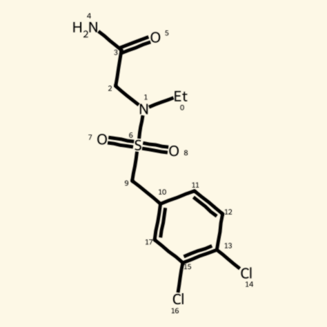 CCN(CC(N)=O)S(=O)(=O)Cc1ccc(Cl)c(Cl)c1